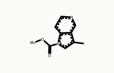 CC(C)(C)OC(=O)n1cc(I)c2cnccc21